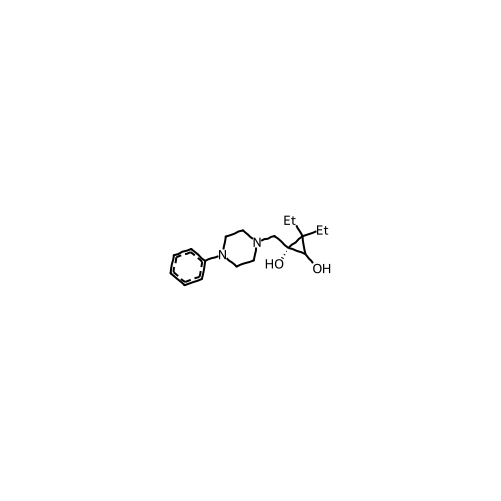 CCC1(CC)C(O)[C@@]1(O)CN1CCN(c2ccccc2)CC1